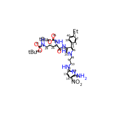 CCc1ccc(-c2cn(CCCNc3ccc([N+](=O)[O-])c(N)n3)cc2NC(=O)C(CCCNC(=O)OC(C)(C)C)NC(=O)OC(C)(C)C)cc1